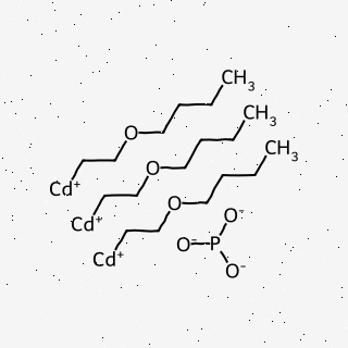 CCCCOC[CH2][Cd+].CCCCOC[CH2][Cd+].CCCCOC[CH2][Cd+].[O-]P([O-])[O-]